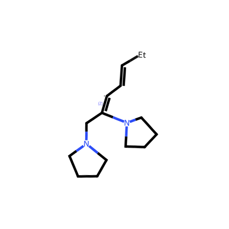 CCC=C/[C]=C(/CN1CCCC1)N1CCCC1